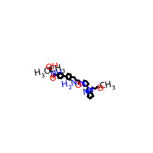 COCCCn1c([C@@H]2CCCN(C(=O)C[C@H](N)Cc3ccc(-c4ccc(C(=O)NCC(C)(C)O)cc4)cc3)C2)nc2ccccc21